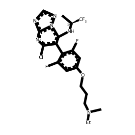 CCN(C)CCCOc1cc(F)c(-c2c(Cl)nc3ncnn3c2N[C@@H](C)C(F)(F)F)c(F)c1